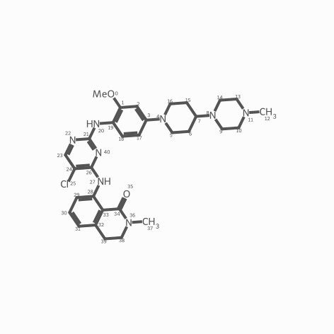 COc1cc(N2CCC(N3CCN(C)CC3)CC2)ccc1Nc1ncc(Cl)c(Nc2cccc3c2C(=O)N(C)CC3)n1